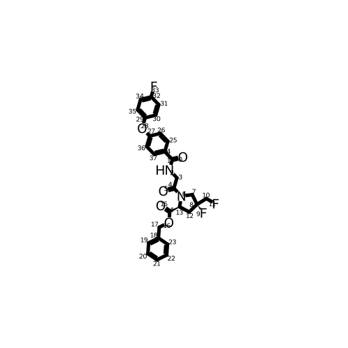 O=C(NCC(=O)N1C[C@@](F)(CF)C[C@H]1C(=O)OCc1ccccc1)c1ccc(Oc2ccc(F)cc2)cc1